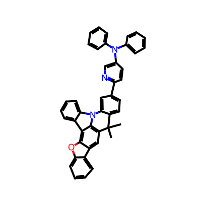 CC1(C)c2ccc(-c3ccc(N(c4ccccc4)c4ccccc4)cn3)cc2-n2c3ccccc3c3c4oc5ccccc5c4cc1c32